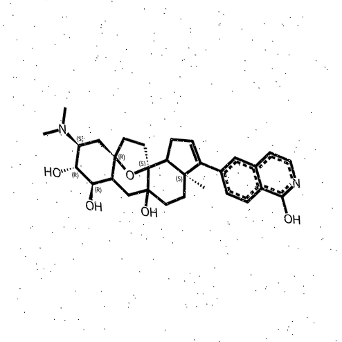 CN(C)[C@H]1C[C@@]23CC[C@]4(O2)C2CC=C(c5ccc6c(O)nccc6c5)[C@@]2(C)CCC4(O)CC3[C@@H](O)[C@@H]1O